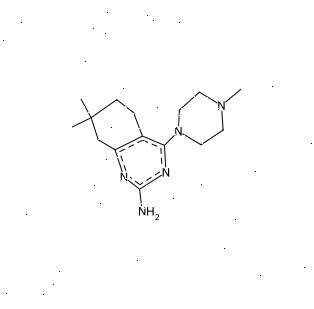 CN1CCN(c2nc(N)nc3c2CCC(C)(C)C3)CC1